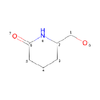 [O]CC1CCCC(=O)N1